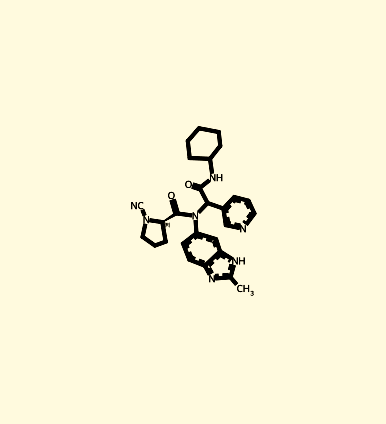 Cc1nc2ccc(N(C(=O)[C@H]3CCCN3C#N)C(C(=O)NC3CCCCC3)c3cccnc3)cc2[nH]1